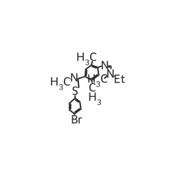 CCN(C)/C=N\c1cc(C)c(/C(CSc2ccc(Br)cc2)=N/C)cc1C